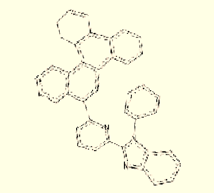 C1=Cc2c(c3c4ccccc4c(-c4cccc(-c5nc6ccccc6n5-c5ccccc5)n4)cc3c3ccccc23)CC1